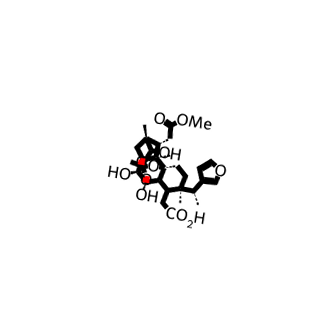 COC(=O)C[C@@H]1[C@@]2(C)[C@@]34CC[C@@](C)([C@@H](C)c5ccoc5)C(CC(=O)O)[C@]35OC(C)(O4)O[C@@]23C[C@@]1(C)C(O)[C@]3(O)[C@H]5O